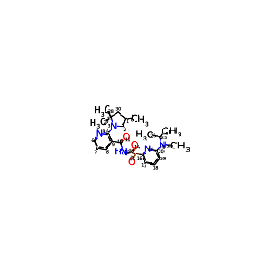 CC1CN(c2ncccc2C(=O)NS(=O)(=O)c2cccc(N(C)C(C)C)n2)C(C)(C)C1